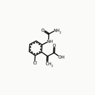 C=C(C(=O)O)c1c(Cl)cccc1NC(N)=O